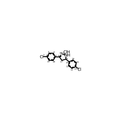 Cl.Clc1ccc(C2=NNC(c3ccc(Cl)cc3)C2)cc1